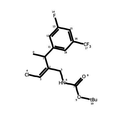 CC(/C(=C\Cl)CNC(=O)OC(C)(C)C)c1cc(F)cc(C(F)(F)F)c1